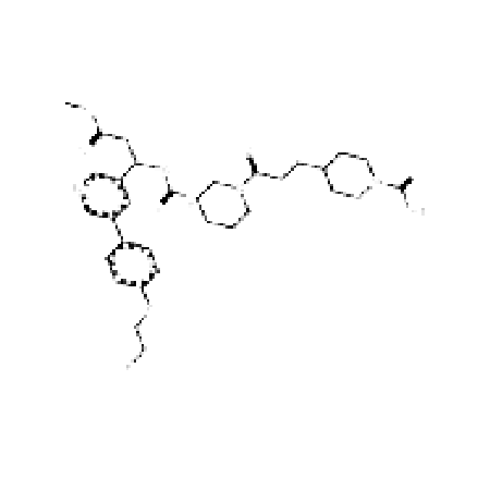 COC(=O)CC(NC(=O)[C@@H]1CCCN(C(=O)CCC2CCN(C(=O)O)CC2)C1)c1cncc(-c2ccc(OCCF)cc2)c1